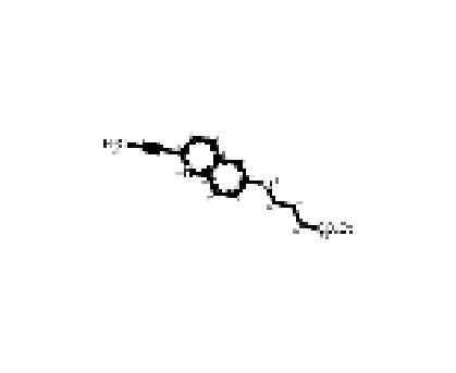 CC#Cc1ccc2cc(OCCCC(=O)OCC)ccc2n1